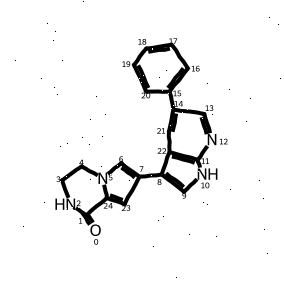 O=C1NCCn2cc(-c3c[nH]c4ncc(-c5ccccc5)cc34)cc21